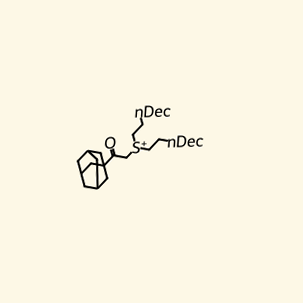 CCCCCCCCCCCC[S+](CCCCCCCCCCCC)CC(=O)C12CC3CC(CC(C3)C1)C2